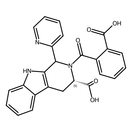 O=C(O)c1ccccc1C(=O)N1C(c2ccccn2)c2[nH]c3ccccc3c2C[C@H]1C(=O)O